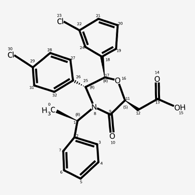 C[C@H](c1ccccc1)N1C(=O)[C@H](CC(=O)O)O[C@H](c2cccc(Cl)c2)[C@H]1c1ccc(Cl)cc1